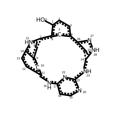 Oc1ccc2cc1c1cc3cc(ccc3[nH]1)[nH]c1ccnc(n1)[nH]c1cc2n[nH]1